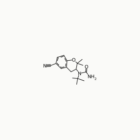 CC1(C)Oc2ccc(C#N)cc2CC1N(C(N)=O)C(C)(C)C